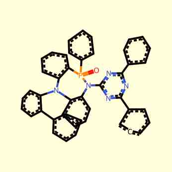 O=P1(c2ccccc2)c2ccccc2N(c2ccccc2-c2ccccc2)c2ccccc2N1c1nc(-c2ccccc2)nc(-c2ccccc2)n1